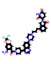 Nc1cc(OC(F)(F)F)ccc1C(=O)N1CCC(c2ncnc3cc(N4CCN(CCCc5cccc6c5CN(C5CCC(=O)NC5=O)C6=O)CC4)ccc23)CC1